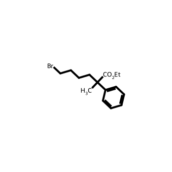 CCOC(=O)C(C)(CCCCBr)c1ccccc1